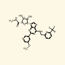 CNC(=O)[C@H]1O[C@@H](n2cnc3c(NCc4cccc(C(F)(F)F)n4)nc(-c4cncc(OC)c4)nc32)[C@H](O)[C@@H]1O